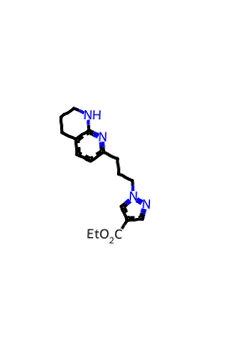 CCOC(=O)c1cnn(CCCc2ccc3c(n2)NCCC3)c1